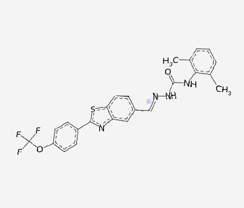 Cc1cccc(C)c1NC(=O)N/N=C/c1ccc2sc(-c3ccc(OC(F)(F)F)cc3)nc2c1